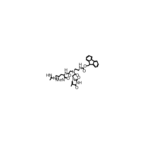 CNC(=O)C(CCCNC(C)=N)NC(=O)CN(CCNC(=O)OCC1c2ccccc2-c2ccccc21)C(=O)Cn1cc(C)c(=O)[nH]c1=O